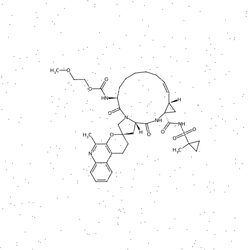 COCCOC(=O)N[C@H]1CCCCC/C=C\[C@@H]2C[C@@]2(C(=O)NS(=O)(=O)C2(C)CC2)NC(=O)[C@@H]2C[C@]3(CCc4c(c(C)nc5ccccc45)O3)CN2C1=O